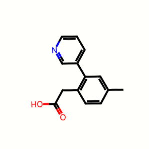 Cc1ccc(CC(=O)O)c(-c2cccnc2)c1